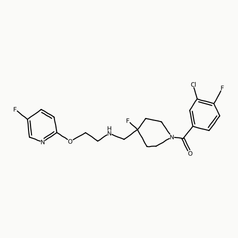 O=C(c1ccc(F)c(Cl)c1)N1CCC(F)(CNCCOc2ccc(F)cn2)CC1